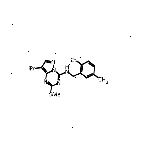 CCc1ccc(C)cc1CNc1nc(SC)nc2c(C(C)C)cnn12